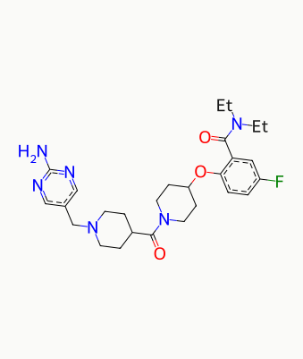 CCN(CC)C(=O)c1cc(F)ccc1OC1CCN(C(=O)C2CCN(Cc3cnc(N)nc3)CC2)CC1